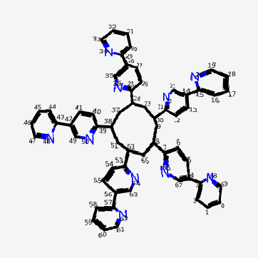 c1ccc(-c2ccc(C3CC(c4ccc(-c5ccccn5)cn4)CC(c4ccc(-c5ccccn5)cn4)CC(c4ccc(-c5ccccn5)cn4)CC(c4ccc(-c5ccccn5)cn4)C3)nc2)nc1